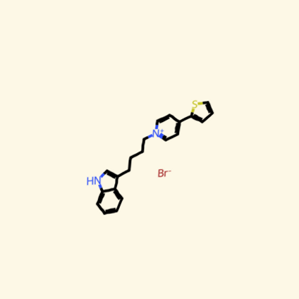 [Br-].c1csc(-c2cc[n+](CCCCc3c[nH]c4ccccc34)cc2)c1